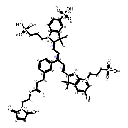 CC1(C)C(/C=C/C(=C/C=C2/N(CCCS(=O)(=O)O)c3ccc(S(=O)(=O)O)cc3C2(C)C)c2cccc(CCC(=O)NCCN3C(=O)C=CC3=O)c2)=Nc2c1cc(Cl)c[n+]2CCCS(=O)(=O)[O-]